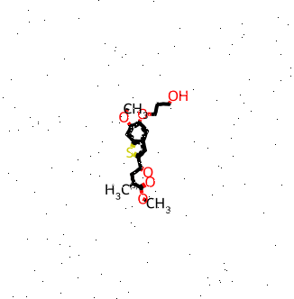 COC(=O)[C@@H](C)CC(=O)c1cc2cc(OCCCO)c(OC)cc2s1